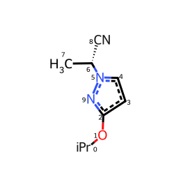 CC(C)Oc1ccn([C@H](C)C#N)n1